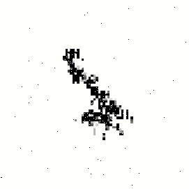 Cc1sc2c(c1C)C(c1ccc(Cl)cc1)=N[C@@H](CC(=O)NCCCC(=O)NCc1ccc(C#CCN)o1)c1nnc(C)n1-2